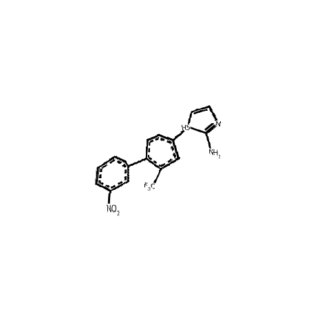 NC1=NC=C[SH]1c1ccc(-c2cccc([N+](=O)[O-])c2)c(C(F)(F)F)c1